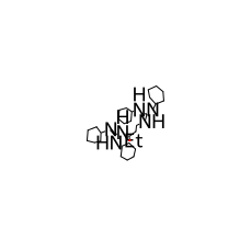 CCC(CCNC(=NC1CCCCC1)NC1CCCCC1)NC(=NC1CCCCC1)NC1CCCCC1